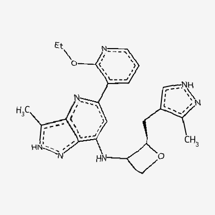 CCOc1ncccc1-c1cc(NC2CO[C@@H]2Cc2c[nH]nc2C)c2n[nH]c(C)c2n1